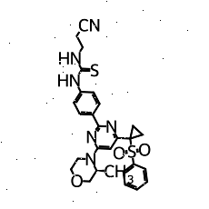 C[C@H]1COCCN1c1cc(C2(S(=O)(=O)c3ccccc3)CC2)nc(-c2ccc(NC(=S)NCCC#N)cc2)n1